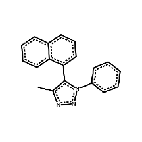 Cc1nnn(-c2ccccc2)c1-c1cccc2ccccc12